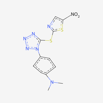 CN(C)c1ccc(-n2nnnc2Sc2ncc([N+](=O)[O-])s2)cc1